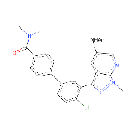 CC(=O)Nc1cnc2c(c1)c(-c1cc(-c3ccc(C(=O)N(C)C)cc3)ccc1Cl)nn2C